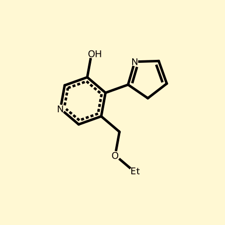 CCOCc1cncc(O)c1C1=NC=CC1